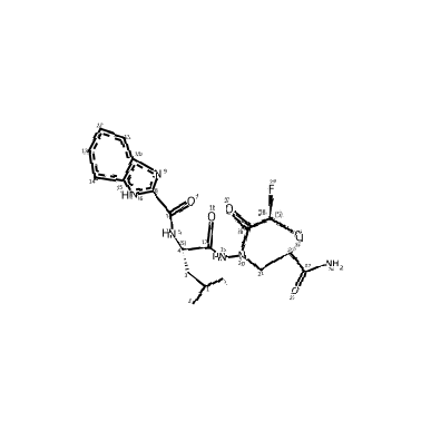 CC(C)C[C@H](NC(=O)c1nc2ccccc2[nH]1)C(=O)NN(CCC(N)=O)C(=O)[C@@H](F)Cl